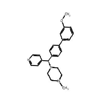 COc1cccc(-c2ccc([C@H](c3ccncc3)N3CCN(C)CC3)cc2)c1